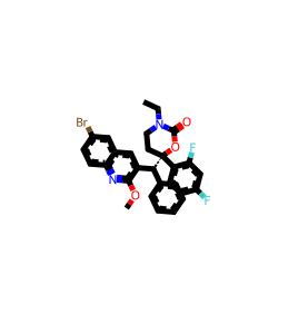 CCN1CC[C@@](c2ccc(F)cc2F)(C(c2ccccc2)c2cc3cc(Br)ccc3nc2OC)OC1=O